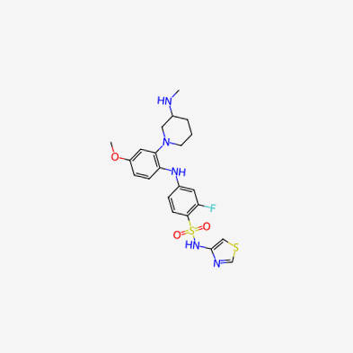 CNC1CCCN(c2cc(OC)ccc2Nc2ccc(S(=O)(=O)Nc3cscn3)c(F)c2)C1